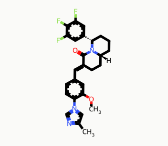 COc1cc(C=C2CC[C@H]3CCC[C@@H](c4cc(F)c(F)c(F)c4)N3C2=O)ccc1-n1cnc(C)c1